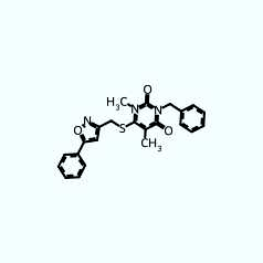 Cc1c(SCc2cc(-c3ccccc3)on2)n(C)c(=O)n(Cc2ccccc2)c1=O